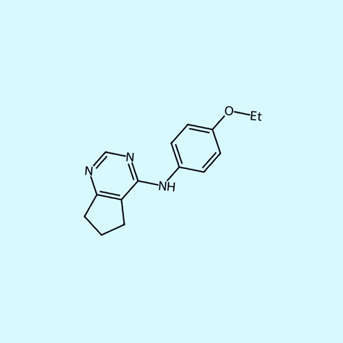 CCOc1ccc(Nc2ncnc3c2CCC3)cc1